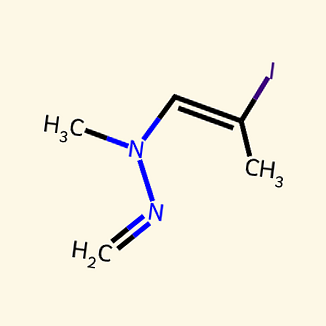 C=NN(C)/C=C(\C)I